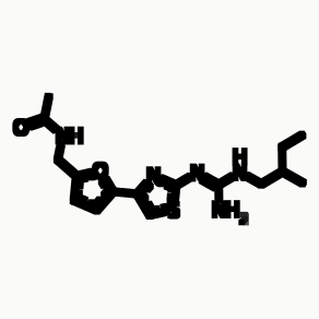 CCC(C)CN/C(N)=N/c1nc(-c2ccc(CNC(C)=O)o2)cs1